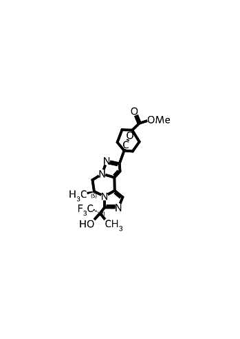 COC(=O)C12CCC(c3cc4n(n3)C[C@H](C)n3c-4cnc3[C@@](C)(O)C(F)(F)F)(CC1)CO2